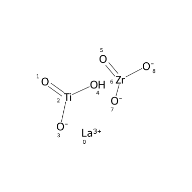 [La+3].[O]=[Ti]([O-])[OH].[O]=[Zr]([O-])[O-]